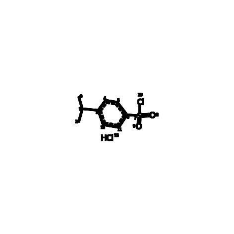 CC(C)c1ccc(S(=O)(=O)Cl)cc1.Cl